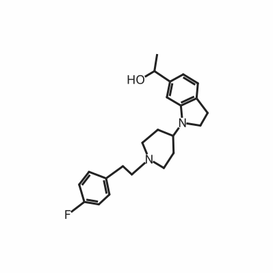 CC(O)c1ccc2c(c1)N(C1CCN(CCc3ccc(F)cc3)CC1)CC2